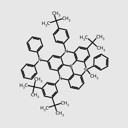 CC(C)(C)c1ccc(N2c3cc(N(c4ccccc4)c4ccccc4)cc4c3B3c5c(cccc5[Si](C)(c5ccccc5)c5cc(C(C)(C)C)cc2c53)N4c2cc(C(C)(C)C)cc(C(C)(C)C)c2)cc1